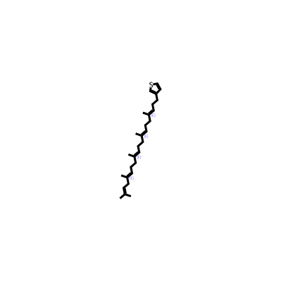 CC(C)=CC/C(C)=C/CC/C(C)=C/CC/C(C)=C/CC/C(C)=C/CCc1ccsc1